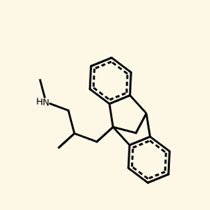 CNCC(C)CC12CC(c3ccccc31)c1ccccc12